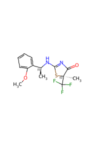 COc1ccccc1[C@H](C)NC1=NC(=O)[C@@](C)(C(F)(F)F)S1